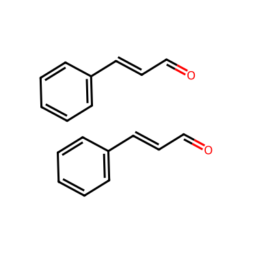 O=CC=Cc1ccccc1.O=CC=Cc1ccccc1